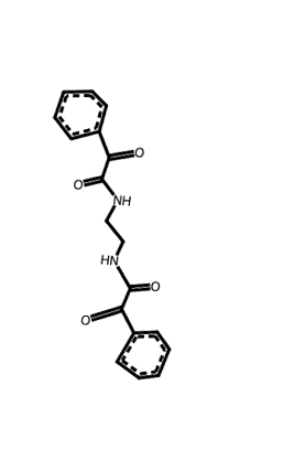 O=C(NCCNC(=O)C(=O)c1ccccc1)C(=O)c1ccccc1